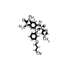 Cn1cnc(S(=O)(=O)Nc2cc3c(cc2Oc2cccc(OCCCC#N)c2)n(C)c(=O)n3C)c1